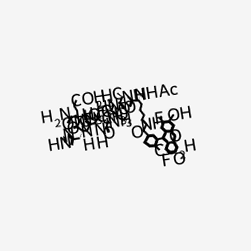 CC(=O)N[C@H](CCCCNC(=O)c1ccc(C(=O)O)c(-c2c3cc(F)c(=O)cc-3oc3cc(O)c(F)cc23)c1)C(=O)N[C@H](C)C(=O)N[C@H](C)C(=O)N[C@H](C)C(=O)N[C@@H](C(=O)N[C@H](Cc1c[nH]cn1)C(=O)N[C@H](CCC(=O)O)C(N)=O)[C@H](C)O